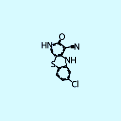 N#Cc1c2c(c[nH]c1=O)Sc1ccc(Cl)cc1N2